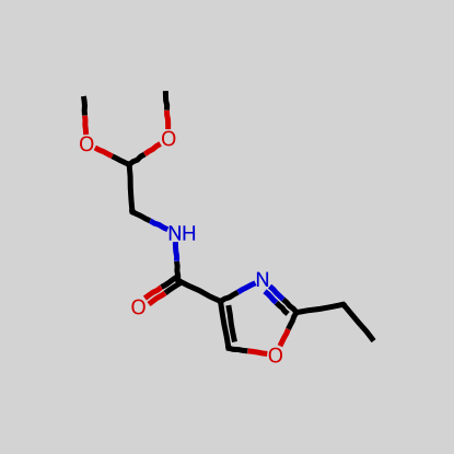 CCc1nc(C(=O)NCC(OC)OC)co1